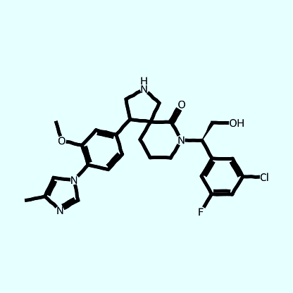 COc1cc(C2CNCC23CCCN([C@@H](CO)c2cc(F)cc(Cl)c2)C3=O)ccc1-n1cnc(C)c1